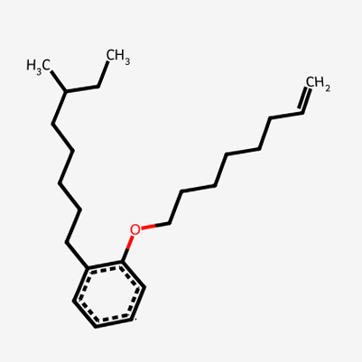 C=CCCCCCCOc1c[c]ccc1CCCCCC(C)CC